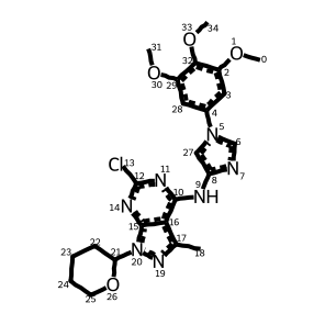 COc1cc(-n2cnc(Nc3nc(Cl)nc4c3c(C)nn4C3CCCCO3)c2)cc(OC)c1OC